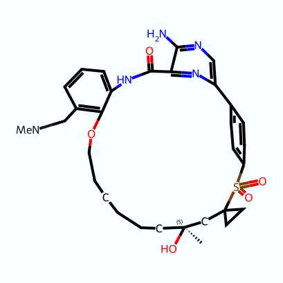 CNCc1cccc2c1OCCCCCC[C@](C)(O)CC1(CC1)S(=O)(=O)c1ccc(cc1)-c1cnc(N)c(n1)C(=O)N2